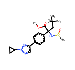 CC(C)OC(=O)C(CC(C)(C)C(F)(F)F)(N[S@@+]([O-])C(C)(C)C)c1ccc(-c2cnn(C3CC3)n2)cc1